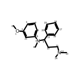 COc1cccc(N(C)C(CCN(C)C)c2ccccc2)c1